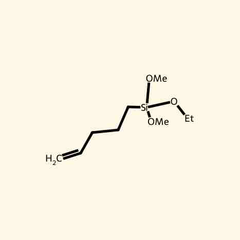 C=CCCC[Si](OC)(OC)OCC